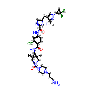 NCCCN1CCN(C(=O)N2C[C@@H]3C(NC(=O)c4ccc(NC(=O)c5ncc(Cc6cn([C@H]7CC7(F)F)nc6C(F)(F)F)[nH]5)cc4Cl)[C@@H]3C2)CC1